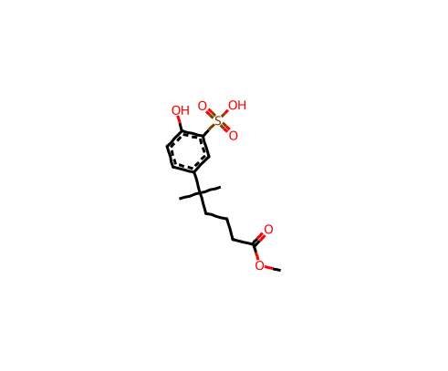 COC(=O)CCCC(C)(C)c1ccc(O)c(S(=O)(=O)O)c1